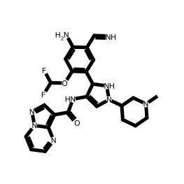 CN1CCCC(N2C=C(NC(=O)c3cnn4cccnc34)C(c3cc(C=N)c(N)cc3OC(F)F)N2)C1